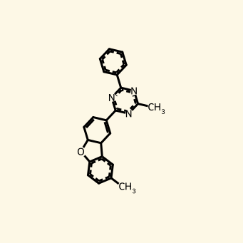 Cc1ccc2c(c1)C1C=C(c3nc(C)nc(-c4ccccc4)n3)C=CC1O2